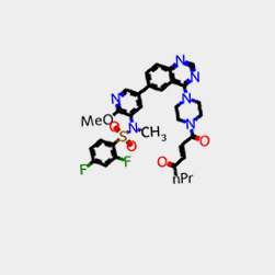 CCCC(=O)/C=C/C(=O)N1CCN(c2ncnc3ccc(-c4cnc(OC)c(N(C)S(=O)(=O)c5ccc(F)cc5F)c4)cc23)CC1